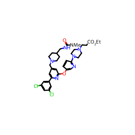 CCOC(=O)CCN1CCN(c2ccc(Oc3cc(CN4CCC(CNC(=O)NC)CC4)cc(-c4cc(Cl)cc(Cl)c4)n3)cn2)CC1